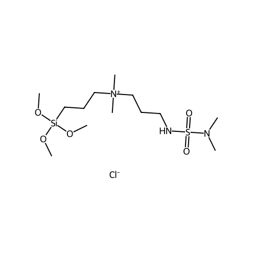 CO[Si](CCC[N+](C)(C)CCCNS(=O)(=O)N(C)C)(OC)OC.[Cl-]